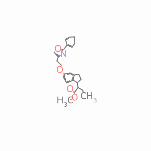 CCC(C(=O)OC)C1CCc2cc(OCCc3coc(C4=CCCC=C4)n3)ccc21